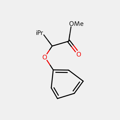 COC(=O)C(Oc1ccccc1)C(C)C